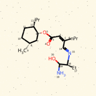 CCCC(=C/C(=O)O[C@@H]1C[C@H](C)CC[C@H]1C(C)C)/C=N/[C@@H](CC)C(N)O